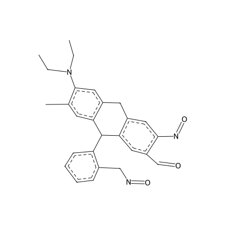 CCN(CC)c1cc2c(cc1C)C(c1ccccc1CN=O)c1cc(C=O)c(N=O)cc1C2